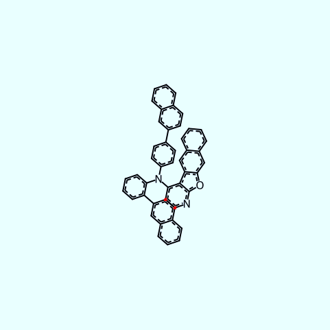 c1ccc(N(c2ccc(-c3ccc4ccccc4c3)cc2)c2ccnc3oc4cc5ccccc5cc4c23)c(-c2ccc3ccccc3c2)c1